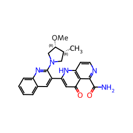 CO[C@H]1CN(c2nc3ccccc3cc2-c2cc(=O)c3c(C(N)=O)nccc3[nH]2)C[C@H]1C